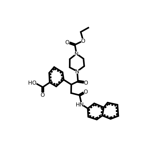 CCOC(=O)N1CCN(C(=O)C(CC(=O)Nc2ccc3ccccc3c2)c2cccc(C(=O)O)c2)CC1